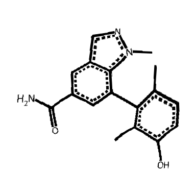 Cc1ccc(O)c(C)c1-c1cc(C(N)=O)cc2cnn(C)c12